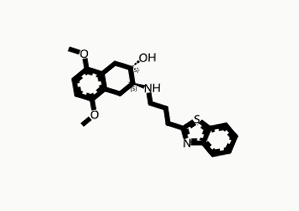 COc1ccc(OC)c2c1C[C@H](NCCCc1nc3ccccc3s1)[C@@H](O)C2